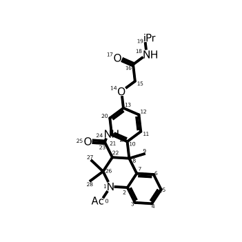 CC(=O)N1c2cc[c]cc2C(C)(c2ccc(OCC(=O)NC(C)C)cc2)C(C(N)=O)C1(C)C